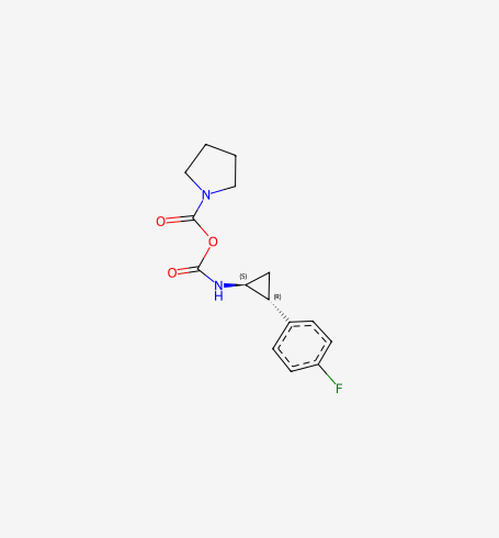 O=C(N[C@H]1C[C@@H]1c1ccc(F)cc1)OC(=O)N1CCCC1